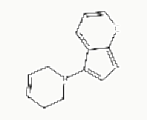 C1=CCN(c2ccc3occcc2-3)CC1